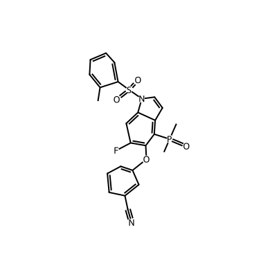 Cc1ccccc1S(=O)(=O)n1ccc2c(P(C)(C)=O)c(Oc3cccc(C#N)c3)c(F)cc21